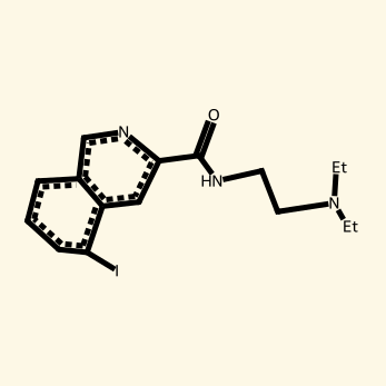 CCN(CC)CCNC(=O)c1cc2c(I)cccc2cn1